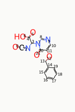 O=C=NC(C(=O)O)n1cncc(OCc2ccccc2)c1=O